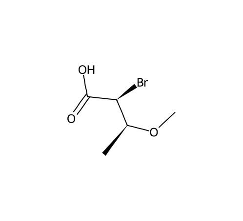 CO[C@@H](C)[C@H](Br)C(=O)O